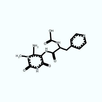 Cn1c(N)c(NC(=O)C(Cc2ccncc2)NC(=O)O)c(=O)[nH]c1=O